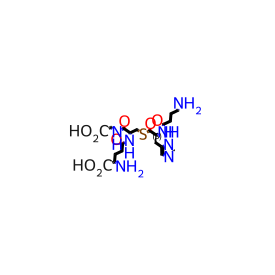 NCCCC(=O)N[C@@H](Cc1cnc[nH]1)C(=O)SCC(NC(=O)CCC(N)C(=O)O)C(=O)NCC(=O)O